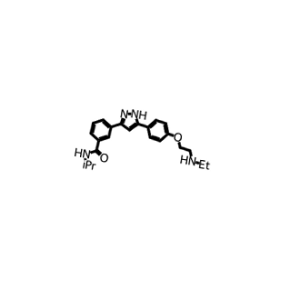 CCNCCOc1ccc(-c2cc(-c3cccc(C(=O)NC(C)C)c3)n[nH]2)cc1